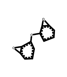 c1cc(Oc2cccc3c2O3)c2c(c1)O2